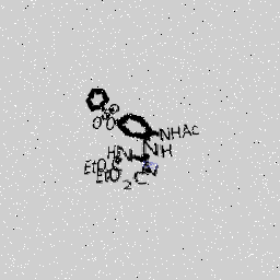 CCOC(=O)/N=C(\NC(=O)OCC)Nc1cc(OS(=O)(=O)c2ccccc2)ccc1NC(C)=O